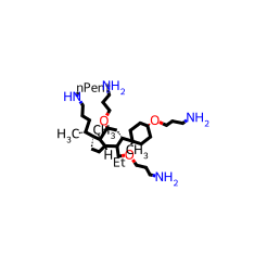 CCCCCNCCC[C@@H](C)[C@H]1CC[C@H]2C([C@@H](CC)OCCCN)[C@@H]([C@]3(C)CC[C@H](OCCCN)CC3)C[C@H](OCCCN)[C@]12C